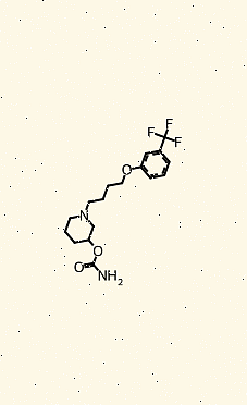 NC(=O)OC1CCCN(CCCCOc2cccc(C(F)(F)F)c2)C1